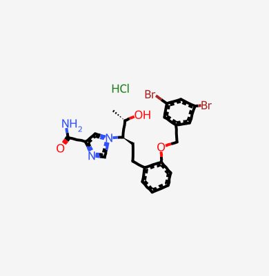 C[C@H](O)[C@@H](CCc1ccccc1OCc1cc(Br)cc(Br)c1)n1cnc(C(N)=O)c1.Cl